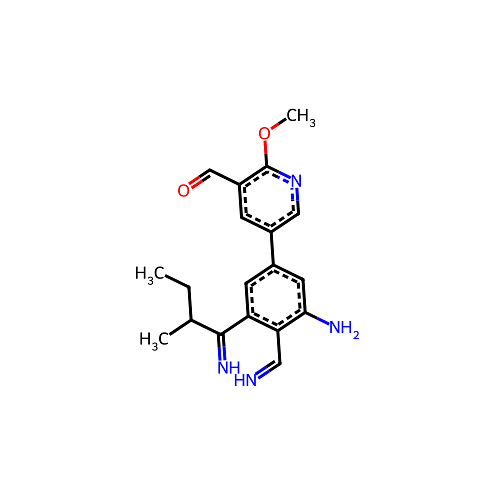 CCC(C)C(=N)c1cc(-c2cnc(OC)c(C=O)c2)cc(N)c1C=N